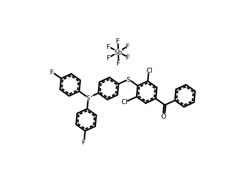 O=C(c1ccccc1)c1cc(Cl)c(Sc2ccc([S+](c3ccc(F)cc3)c3ccc(F)cc3)cc2)c(Cl)c1.[F][Sb-]([F])([F])([F])([F])[F]